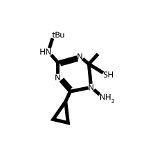 CC(C)(C)NC1=NC(C)(S)N(N)C(C2CC2)=N1